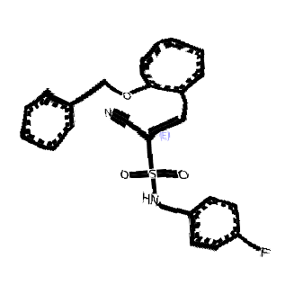 N#C/C(=C\c1ccccc1OCc1ccccc1)S(=O)(=O)Nc1ccc(F)cc1